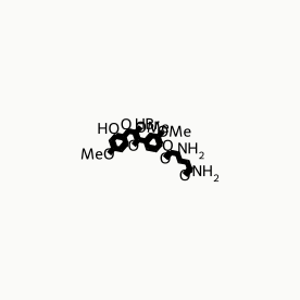 Br.COc1cc(O)c2c(=O)c(OC)c(-c3ccc(OC(=O)[C@@H](N)CCC(N)=O)c(OC)c3)oc2c1